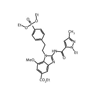 CCOC(=O)c1cc(OC)c2c(c1)nc(NC(=O)c1cc(C)nn1CC)n2CCc1ccc(P(=O)(OCC)OCC)cc1